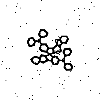 C1=Cc2c(oc3c4c(ccc23)C2(c3cc(N(c5ccccc5)c5ccccc5)ccc3-c3cc5ccccc5cc32)c2ccc(N(c3ccccc3)c3ccccc3)cc2-4)CC1